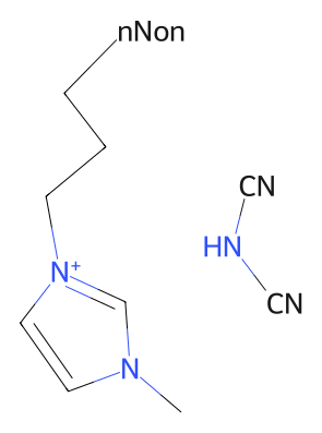 CCCCCCCCCCCC[n+]1ccn(C)c1.N#CNC#N